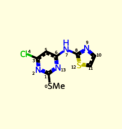 CSc1nc(Cl)cc(Nc2nccs2)n1